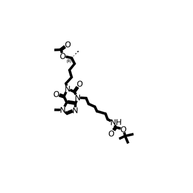 CC(=O)O[C@H](C)CCCCn1c(=O)c2c(ncn2C)n(CCCCCCNC(=O)OC(C)(C)C)c1=O